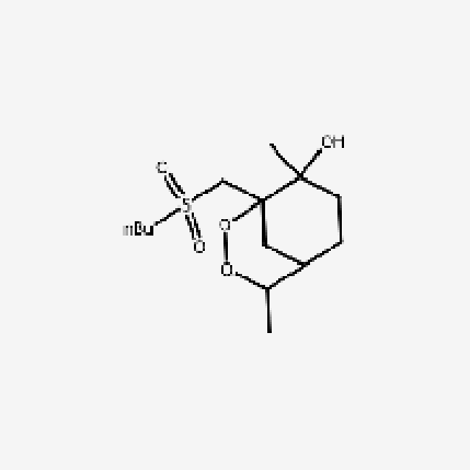 CCCCS(=O)(=O)CC12CC(CCC1(C)O)C(C)OO2